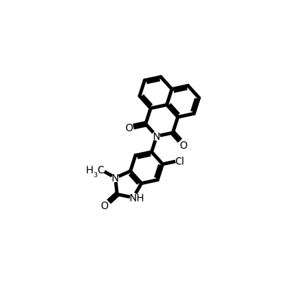 Cn1c(=O)[nH]c2cc(Cl)c(N3C(=O)c4cccc5cccc(c45)C3=O)cc21